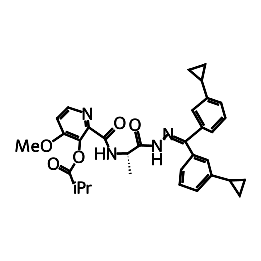 COc1ccnc(C(=O)N[C@@H](C)C(=O)NN=C(c2cccc(C3CC3)c2)c2cccc(C3CC3)c2)c1OC(=O)C(C)C